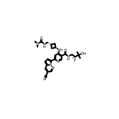 CN(C)C(=O)NC[C@H]1C[C@H](Nc2cc(-c3ccc4cc(C#N)cnn34)ncc2C(=O)NC[C@@H](F)C(C)(C)O)C1